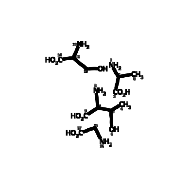 CC(N)C(=O)O.CC(O)C(N)C(=O)O.NC(CO)C(=O)O.NCC(=O)O